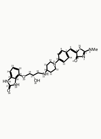 CNC1=NC(=O)/C(=C\c2ccc(N3CCC(NC[C@H](O)COc4cccc5[nH]c(=O)[nH]c45)CC3)cc2)S1